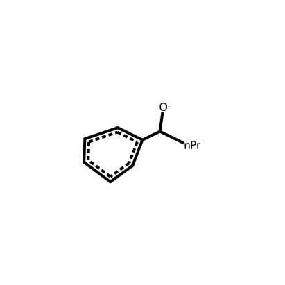 CCCC([O])c1ccccc1